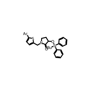 CC(=O)c1ccc(CN2CCC(O[Si](c3ccccc3)(c3ccccc3)C(C)(C)C)C2=O)s1